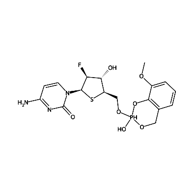 COc1cccc2c1O[PH](O)(OC[C@H]1S[C@@H](n3ccc(N)nc3=O)[C@@H](F)[C@@H]1O)OC2